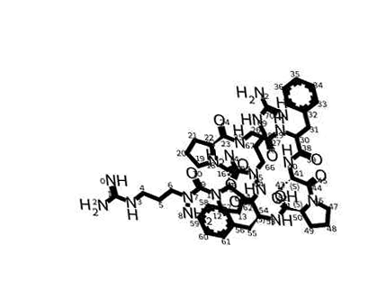 N=C(N)NCCCN(N)C(=O)N1CCC[C@H]1C(=O)N1CCC[C@H]1C(=O)NCC(=O)NC(Cc1ccccc1)C(=O)N[C@@H](CO)C(=O)N1CCC[C@H]1C(=O)N[C@@H](Cc1ccccc1)C(=O)NN(CCCNC(=N)N)C(N)=O